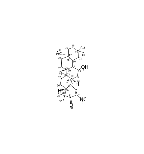 [C-]#[N+]C1=C[C@]2(C)[C@H]3CC(O)C4C5CC(C)(C)CC[C@]5(C(C)=O)CC[C@@]4(C)[C@]3(C)CC[C@H]2C(C)(C)C1=O